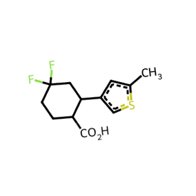 Cc1cc(C2CC(F)(F)CCC2C(=O)O)cs1